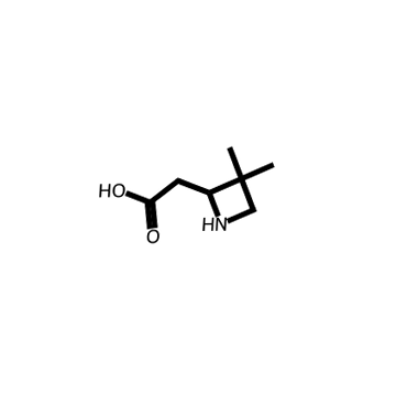 CC1(C)CNC1CC(=O)O